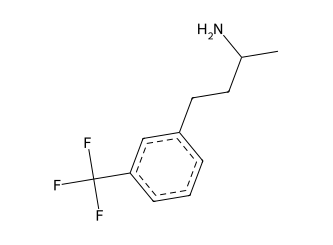 CC(N)CCc1cccc(C(F)(F)F)c1